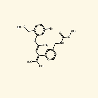 CCOC(=O)Cc1ccc(Br)cc1O/C(C)=C/C(=C(\C)O)c1cccc(CNC(=O)OC(C)(C)C)c1